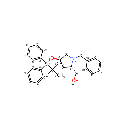 CC(C)(C)[Si](O[C@@H]1C[C@@H](CO)N(Cc2ccccc2)C1)(c1ccccc1)c1ccccc1